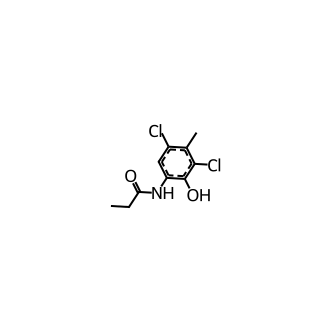 CCC(=O)Nc1cc(Cl)c(C)c(Cl)c1O